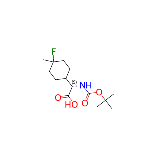 CC1(F)CCC([C@H](NC(=O)OC(C)(C)C)C(=O)O)CC1